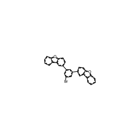 Brc1cc(-c2ccc3oc4ccccc4c3c2)cc(-c2ccc3oc4ccccc4c3c2)c1